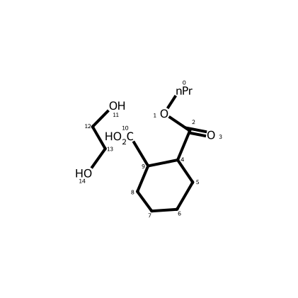 CCCOC(=O)C1CCCCC1C(=O)O.OCCO